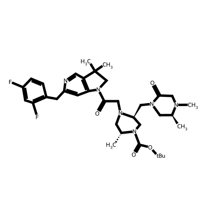 C[C@@H]1CN(CC(=O)N2CC(C)(C)c3cnc(Cc4ccc(F)cc4F)cc32)[C@@H](CN2C[C@H](C)N(C)CC2=O)CN1C(=O)OC(C)(C)C